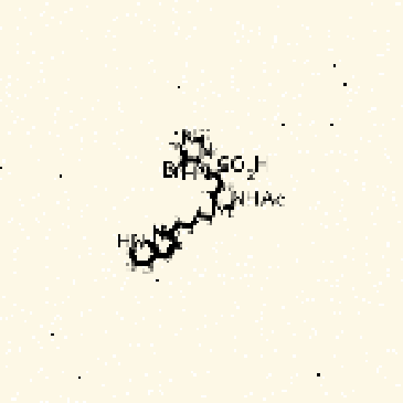 CC(=O)NCN(CCCCc1ccc2c(n1)NCCC2)CCC(Nc1ncncc1Br)C(=O)O